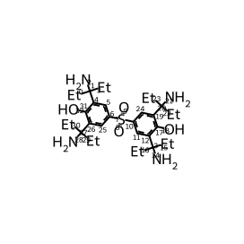 CCC(N)(CC)c1cc(S(=O)(=O)c2cc(C(N)(CC)CC)c(O)c(C(N)(CC)CC)c2)cc(C(N)(CC)CC)c1O